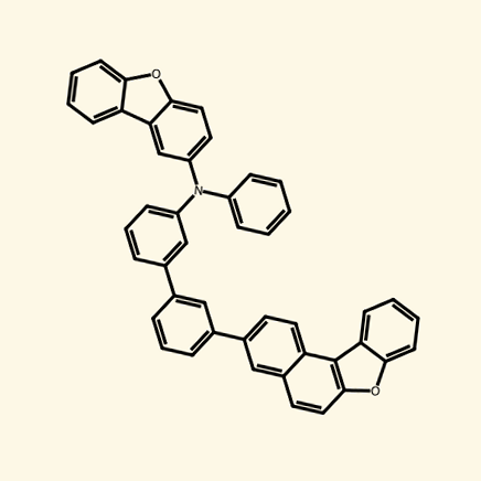 c1ccc(N(c2cccc(-c3cccc(-c4ccc5c(ccc6oc7ccccc7c65)c4)c3)c2)c2ccc3oc4ccccc4c3c2)cc1